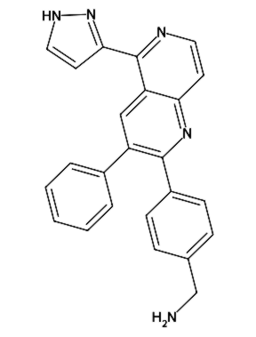 NCc1ccc(-c2nc3ccnc(-c4cc[nH]n4)c3cc2-c2ccccc2)cc1